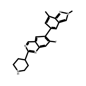 Cc1cc(-c2cc3cnc(C4CCNCC4)nc3cc2F)cc2cn(C)nc12